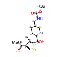 COC(=O)c1csc([C@@H](O)C2CCC(CNC(=O)OC(C)(C)C)CC2)c1C